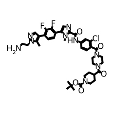 Cc1c(-c2ccc(-c3cnc(C(=O)Nc4ccc(C(=O)N5CCN(C(=O)C6CCN(C(=O)OC(C)(C)C)CC6)CC5)c(Cl)c4)n3C)c(F)c2F)cnn1CCN